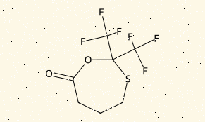 O=C1CCCSC(C(F)(F)F)(C(F)(F)F)O1